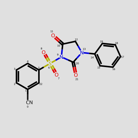 N#Cc1cccc(S(=O)(=O)N2C(=O)CN(c3ccccc3)C2=O)c1